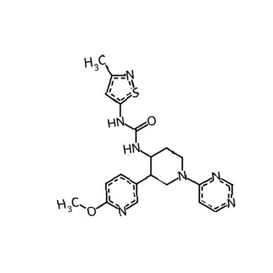 COc1ccc(C2CN(c3ccncn3)CCC2NC(=O)Nc2cc(C)ns2)cn1